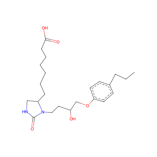 CCCc1ccc(OCC(O)CCN2C(=O)NCC2CCCCCCC(=O)O)cc1